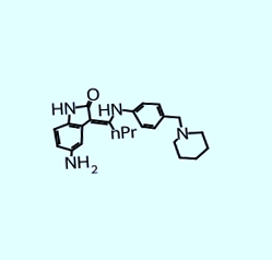 CCC/C(Nc1ccc(CN2CCCCC2)cc1)=C1/C(=O)Nc2ccc(N)cc21